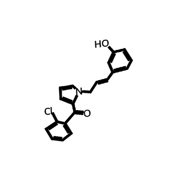 O=C(c1ccccc1Cl)c1cccn1C/C=C/c1cccc(O)c1